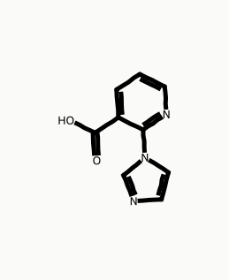 O=C(O)c1cccnc1-n1ccnc1